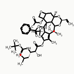 C=C[C@@H]1O[C@H]2CC3OC[C@@]3(OC(C)=O)[C@H]3[C@H](OC(=O)c4ccccc4)[C@]4(C(C)(C)O)C[C@H](OC(=O)[C@H](O)[C@H](CC(C)C)NC(=O)OC(C)(C)C)C(C)=C4[C@H](C)[C@H](O1)[C@]23C